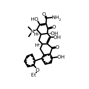 CCOc1ccccc1-c1ccc(O)c2c1C[C@H]1C[C@H]3[C@@H](N(C)C)C(O)=C(C(N)=O)C(=O)[C@@]3(O)C(O)=C1C2=O